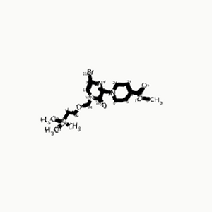 COC(=O)C1CCN(c2nc(Br)cn(COCC[Si](C)(C)C)c2=O)CC1